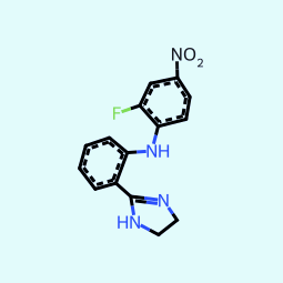 O=[N+]([O-])c1ccc(Nc2ccccc2C2=NCCN2)c(F)c1